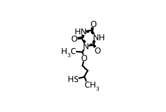 CC(S)CCOC(C)n1c(=O)[nH]c(=O)[nH]c1=O